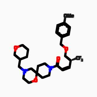 COc1ccc(COC[C@@H](/C=C\C(=O)N2CCC3(CC2)CN(CC2CCCOC2)CCO3)C(F)(F)F)cc1